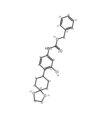 O=C(Nc1ccc(C2CCC3(CC2)OCCO3)c(Cl)c1)OCc1ccccc1